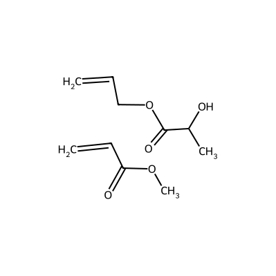 C=CC(=O)OC.C=CCOC(=O)C(C)O